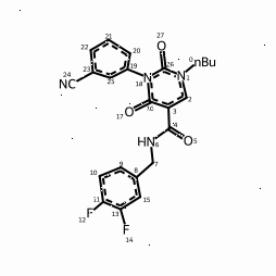 CCCCn1cc(C(=O)NCc2ccc(F)c(F)c2)c(=O)n(-c2cccc(C#N)c2)c1=O